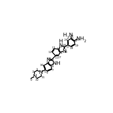 CN1CCN(c2ccc3[nH]c(-c4ccc5[nH]c(-c6ccc(N)c(N)c6)nc5c4)nc3c2)CC1